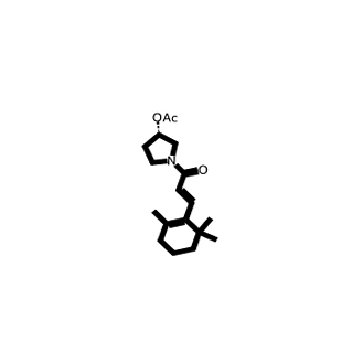 CC(=O)O[C@H]1CCN(C(=O)/C=C/C2=C(C)CCCC2(C)C)C1